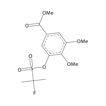 COC(=O)c1cc(OC)c(OC)c(OS(=O)(=O)C(C)(C)F)c1